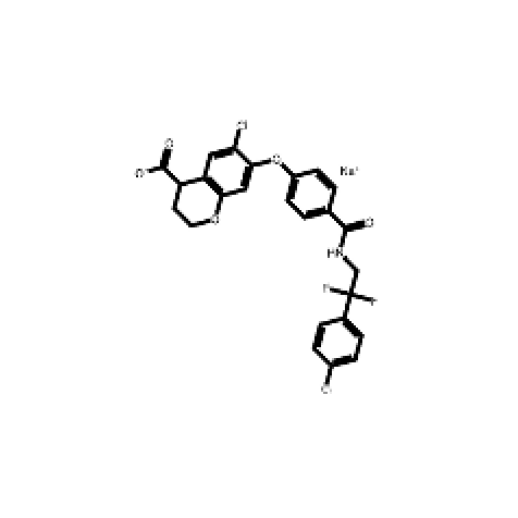 O=C(NCC(F)(F)c1ccc(Cl)cc1)c1ccc(Oc2cc3c(cc2Cl)C(C(=O)[O-])CCO3)cc1.[Na+]